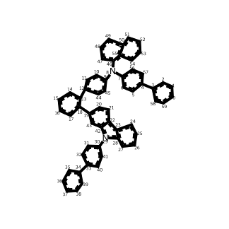 c1ccc(-c2ccc(N(c3ccc(-c4ccccc4-c4ccc5c6ccccc6n(-c6ccc(-c7ccccc7)cc6)c5c4)cc3)c3cccc4ccccc34)cc2)cc1